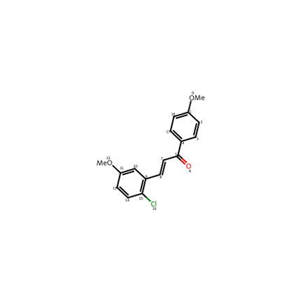 COc1ccc(C(=O)/C=C/c2cc(OC)ccc2Cl)cc1